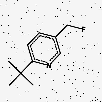 CC(C)(C)c1ccc(CF)cn1